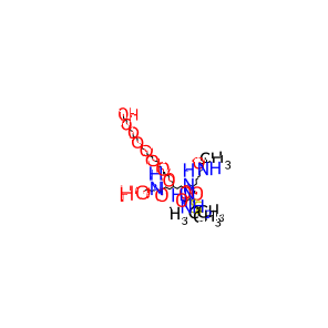 CCC(=O)NCCCCC(NC(=O)CCC(CCC(=O)NCCO)COCCOCCOCCOCCOCCOCCOCCO)C(=O)NC(CSSC(C)(C)C)C(N)=O